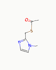 CC(=O)SCc1nccn1C